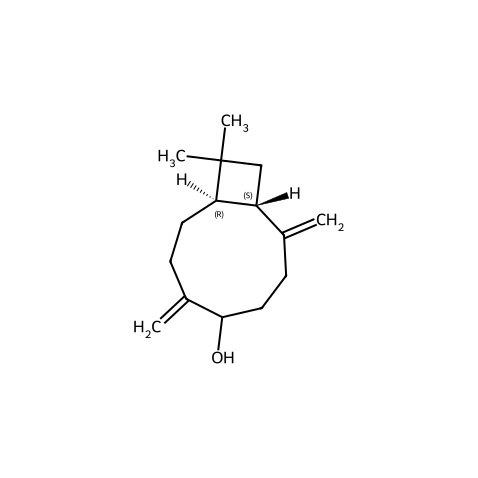 C=C1CC[C@@H]2[C@H](CC2(C)C)C(=C)CCC1O